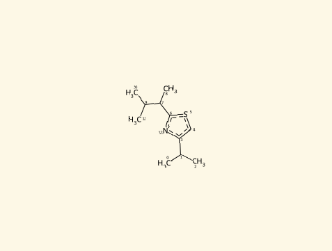 CC(C)c1csc(C(C)C(C)C)n1